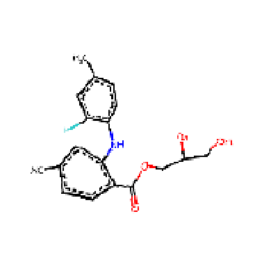 Cc1ccc(Nc2cc(C#N)ccc2C(=O)OCC(O)CO)c(F)c1